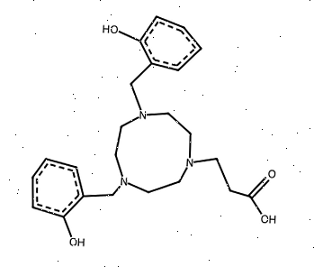 O=C(O)CCN1CCN(Cc2ccccc2O)CCN(Cc2ccccc2O)CC1